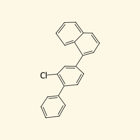 Clc1cc(-c2cccc3ccccc23)ccc1-c1ccccc1